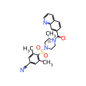 Cc1cc(C#N)cc(C)c1S(=O)(=O)N1CCN(C(=O)c2ccc3cccnc3c2)[C@@H](C)C1